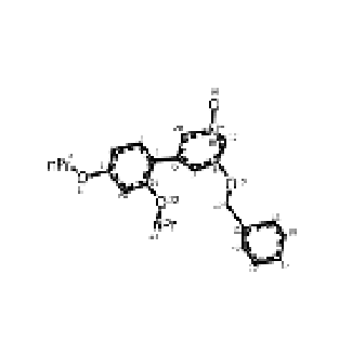 CCCOc1ccc(-c2cc(OCc3ccccc3)c[n+]([O-])c2)c(OCCC)c1